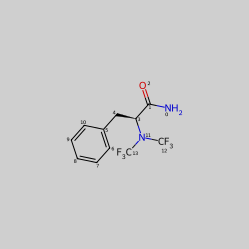 NC(=O)[C@H](Cc1ccccc1)N(C(F)(F)F)C(F)(F)F